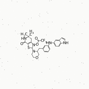 CC1(C)CC2=C(SC(N3CCOCC3Cc3cccc(Nc4ccc5[nH]ccc5c4)c3)N2OC(=O)C(F)(F)F)C(=O)N1